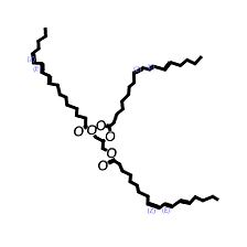 CCCCC=C/C=C/C=C\CCCCCCCC(=O)OCC(COC(=O)CCCCCCCC=C/C=C/C=C\CCCC)OC(=O)CCCCCCC/C=C\C=C\C=CCCCC